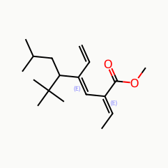 C=C/C(=C\C(=C/C)C(=O)OC)C(CC(C)C)C(C)(C)C